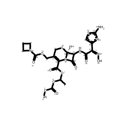 CC(C)OC(=O)OC(C)OC(=O)C1=C(COC(=O)N2CCC2)CS[C@H]2C(NC(=O)/C(=N\O)c3csc(N)n3)C(=O)N12